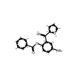 CC(C)(C)c1ccc(OC(=O)c2ccccc2)c(C(=N)c2ccco2)c1